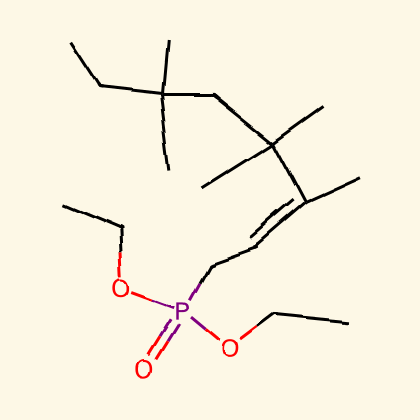 CCOP(=O)(CC=C(C)C(C)(C)CC(C)(C)CC)OCC